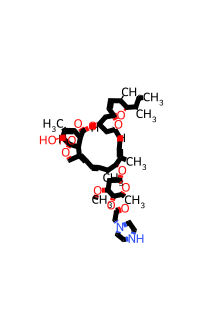 CC[C@H](C)[C@H]1OC2(C=C[C@@H]1C)C[C@@H]1C[C@@H](C/C=C(\C)[C@@H](OC3CC(OC)C(OC(=O)CN4CCNCC4)C(C)O3)[C@@H](C)/C=C/C=C3\CO[C@@H]4[C@H](O)C(C)=CC(C(=O)O1)[C@]34O)O2